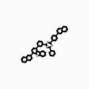 c1ccc(-c2nc(-c3ccc(-c4ccc5ccccc5c4)cc3)nc(-c3cccc(-c4ccc(-c5ccc6ccccc6c5)c5oc6ccccc6c45)c3)n2)cc1